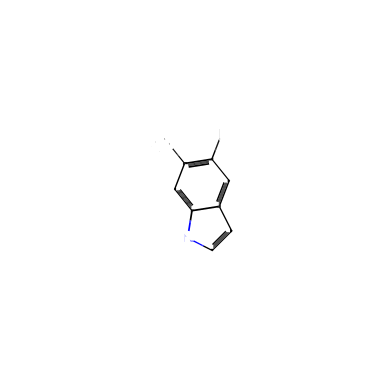 CCc1cc2cc[nH]c2cc1[N+](=O)[O-]